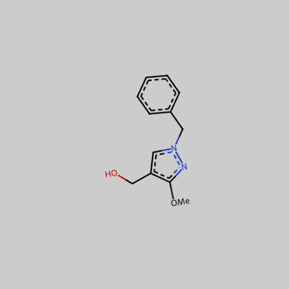 COc1nn(Cc2ccccc2)cc1CO